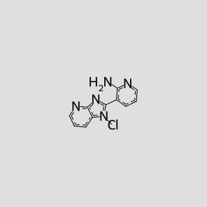 Nc1ncccc1-c1nc2ncccc2n1Cl